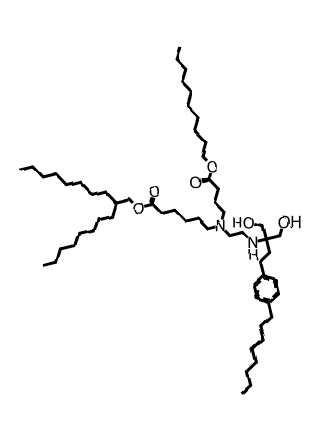 CCCCCCCCCCOC(=O)CCCN(CCCCCC(=O)OCC(CCCCCCCC)CCCCCCCC)CCNC(CO)(CO)CCc1ccc(CCCCCCCC)cc1